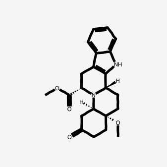 COC(=O)[C@@H]1Cc2c([nH]c3ccccc23)[C@@H]2CC[C@@]3(OC)CCC(=O)C[C@H]3N12